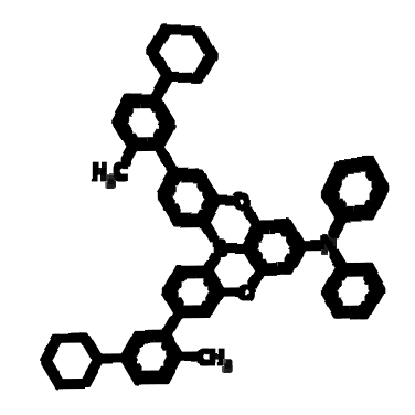 Cc1ccc(C2CCCCC2)cc1-c1ccc2c(c1)Oc1cc(N(c3ccccc3)c3ccccc3)cc3c1B2c1ccc(-c2cc(C4CCCCC4)ccc2C)cc1O3